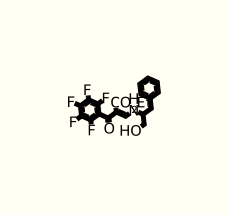 CCOC(=O)/C(=C\NC(CO)Cc1ccccc1)C(=O)c1c(F)c(F)c(F)c(F)c1F